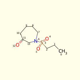 CCCS(=O)(=O)N1CCC[CH]C(=O)C1